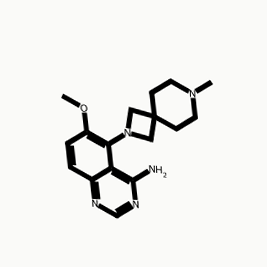 COc1ccc2ncnc(N)c2c1N1CC2(CCN(C)CC2)C1